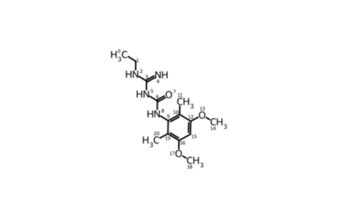 CCNC(=N)NC(=O)Nc1c(C)c(OC)cc(OC)c1C